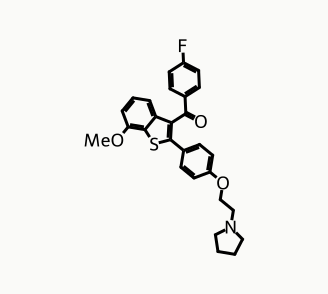 COc1cccc2c(C(=O)c3ccc(F)cc3)c(-c3ccc(OCCN4CCCC4)cc3)sc12